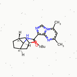 CCCCO[C@H]1C[C@H]2CC[C@H](C1)[C@H]2NC(=O)c1ncn2c(C)cc(C)nc12